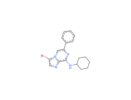 Brc1cnc2c(NC3CCCCC3)nc(-c3ccccc3)cn12